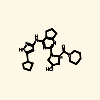 O=C([C@H]1CC(O)CN1c1nc2c(c(Nc3cc(C4CCCC4)[nH]n3)n1)CCC2)N1CCCCC1